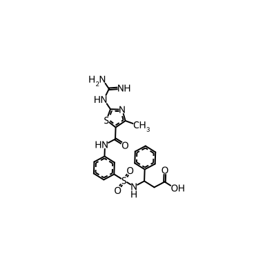 Cc1nc(NC(=N)N)sc1C(=O)Nc1cccc(S(=O)(=O)NC(CC(=O)O)c2ccccc2)c1